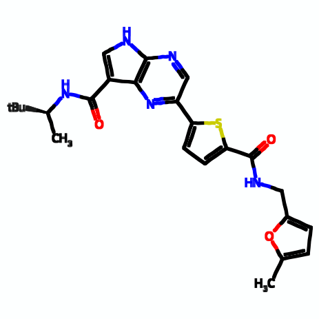 Cc1ccc(CNC(=O)c2ccc(-c3cnc4[nH]cc(C(=O)N[C@@H](C)C(C)(C)C)c4n3)s2)o1